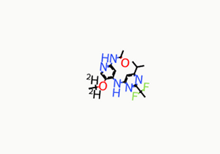 [2H]C([2H])(C)Oc1cnc(NC(C)=O)cc1Nc1cc(C(C)C)nc(C(C)(F)F)n1